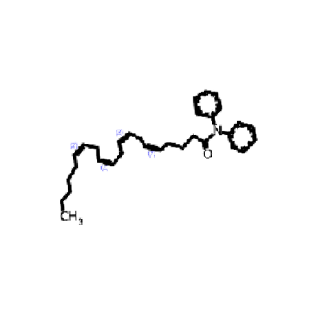 CCCCC/C=C\C/C=C\C/C=C\C/C=C\CCCC(=O)N(c1ccccc1)c1ccccc1